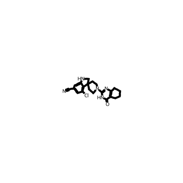 N#Cc1cc(Cl)c2c(c1)NCC21CCN(c2nc3c(c(=O)[nH]2)CCCC3)CC1